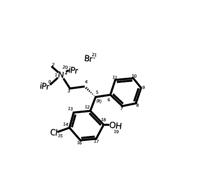 CC(C)[N+](C)(CC[C@H](c1ccccc1)c1cc(Cl)ccc1O)C(C)C.[Br-]